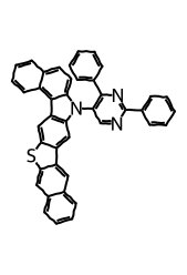 c1ccc(-c2ncc(-n3c4cc5c(cc4c4c6ccccc6ccc43)sc3cc4ccccc4cc35)c(-c3ccccc3)n2)cc1